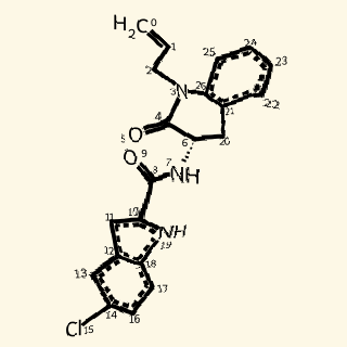 C=CCN1C(=O)[C@@H](NC(=O)c2cc3cc(Cl)ccc3[nH]2)Cc2ccccc21